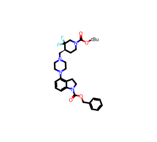 CC(C)(C)OC(=O)N1CC[C@@H](CN2CCN(c3cccc4c3CCN4C(=O)OCc3ccccc3)CC2)C(F)(F)C1